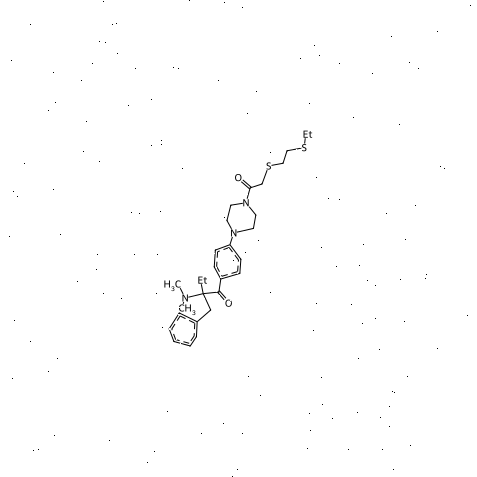 CCSCCSCC(=O)N1CCN(c2ccc(C(=O)C(CC)(Cc3ccccc3)N(C)C)cc2)CC1